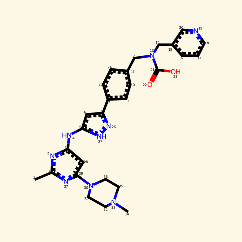 Cc1nc(Nc2cc(-c3ccc(CN(Cc4cccnc4)C(=O)O)cc3)n[nH]2)cc(N2CCN(C)CC2)n1